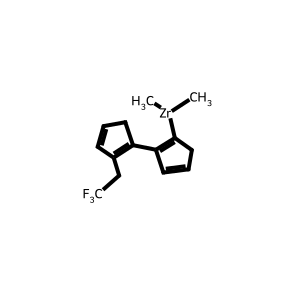 [CH3][Zr]([CH3])[C]1=C(C2=C(CC(F)(F)F)C=CC2)C=CC1